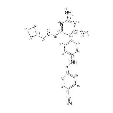 N#Cc1ccc(CNc2ccc(-c3c(N)nc(N)nc3COCC3CCC3)cc2)cc1